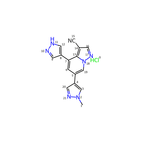 Cl.Cn1cc(-c2cc(-c3cn[nH]c3)c3c(C#N)cnn3c2)cn1